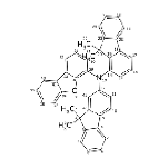 CC1(C)c2ccccc2-c2ccc(N(c3cccc4c3C(C)(C)c3ccccc3-4)c3cccc4c3oc3ccccc34)cc21